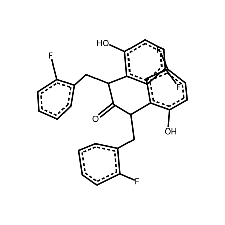 O=C(C(Cc1ccccc1F)c1cc(F)ccc1O)C(Cc1ccccc1F)c1cc(F)ccc1O